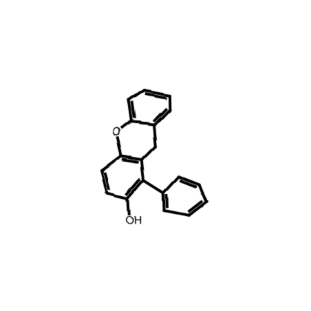 Oc1ccc2c(c1-c1ccccc1)Cc1ccccc1O2